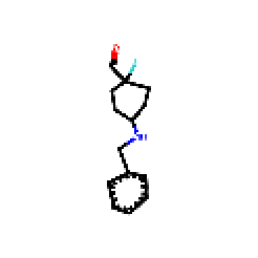 O=CC1(F)CCC(NCc2ccccc2)CC1